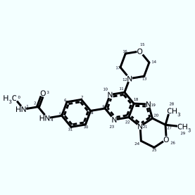 CNC(=O)Nc1ccc(-c2nc(N3CCOCC3)c3nc4n(c3n2)CCOC4(C)C)cc1